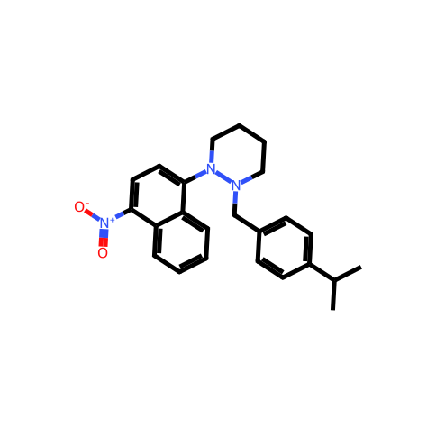 CC(C)c1ccc(CN2CCCCN2c2ccc([N+](=O)[O-])c3ccccc23)cc1